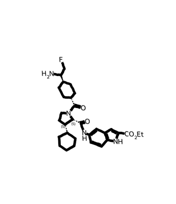 CCOC(=O)c1cc2cc(NC(=O)[C@@H]3[C@H](C4CCCCC4)CCN3C(=O)[C@H]3CC[C@H](C(N)CF)CC3)ccc2[nH]1